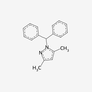 Cc1cc(C)n(C(c2ccccc2)c2ccccc2)n1